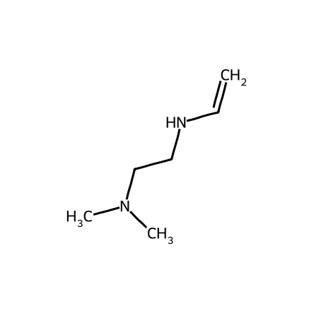 C=CNCCN(C)C